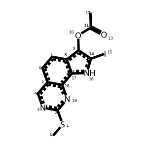 CSc1ncc2ccc3c(OC(C)=O)c(I)[nH]c3c2n1